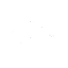 C=C/C(=C\C(C=O)=C/N)C(C)=O